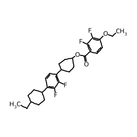 CCOc1ccc(C(=O)OC2CCC(c3ccc(C4CCC(CC)CC4)c(F)c3F)CC2)c(F)c1F